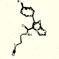 N#CSCCNC(=O)c1c(-c2ccc(F)cc2)nc2sccn12